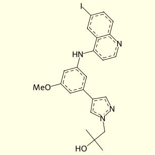 COc1cc(Nc2ccnc3ccc(I)cc23)cc(-c2cnn(CC(C)(C)O)c2)c1